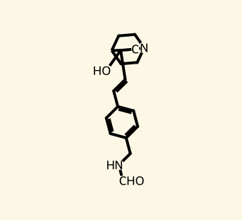 O=CNCc1ccc(C=CC2(O)CN3CCC2CC3)cc1